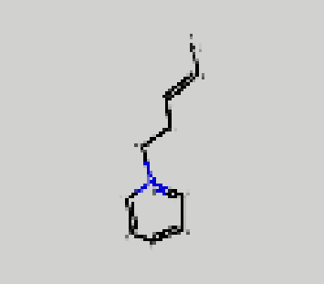 CCC=CCC[n+]1ccccc1